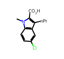 CCCc1c(C(=O)O)n(C)c2ccc(Cl)cc12